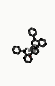 c1ccc(P(C[C@H]2[C@@H]3CC[C@@H](C3)[C@@H]2CP(c2ccccc2)c2ccccc2)c2ccccc2)cc1